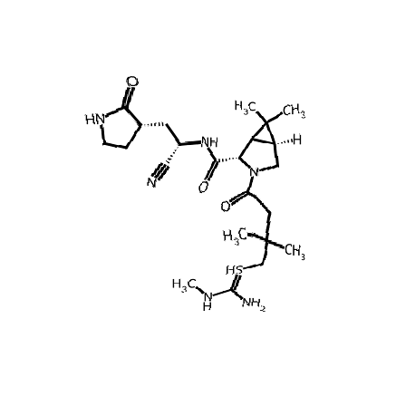 CN/C(N)=[SH]/CC(C)(C)CC(=O)N1C[C@H]2C([C@H]1C(=O)N[C@H](C#N)C[C@@H]1CCNC1=O)C2(C)C